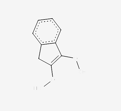 COC1=C(OC)c2ccccc2C1